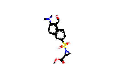 COC(=O)C1CN1S(=O)(=O)c1ccc2c(C=O)c(N(C)C)ccc2c1